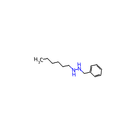 CCCCCCNNCc1ccccc1